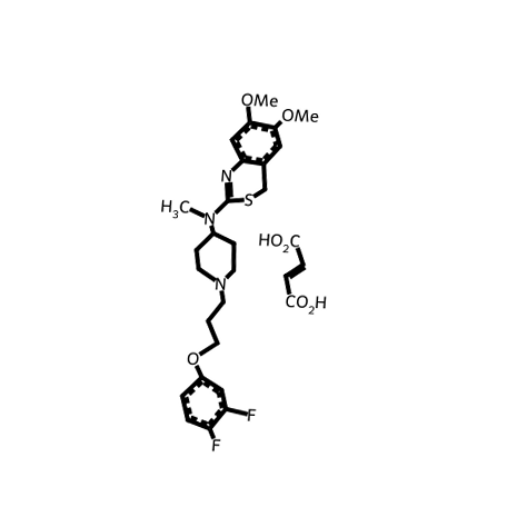 COc1cc2c(cc1OC)N=C(N(C)C1CCN(CCCOc3ccc(F)c(F)c3)CC1)SC2.O=C(O)C=CC(=O)O